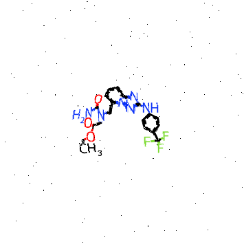 CCOC(=O)CN(Cc1cccc2nc(Nc3ccc(C(F)(F)F)cc3)nn12)C(N)=O